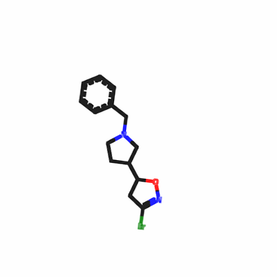 BrC1=NOC(C2CCN(Cc3ccccc3)C2)C1